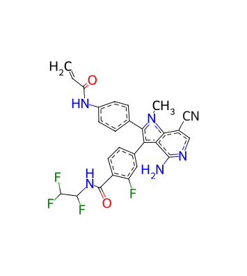 C=CC(=O)Nc1ccc(-c2c(-c3ccc(C(=O)NC(F)C(F)F)c(F)c3)c3c(N)ncc(C#N)c3n2C)cc1